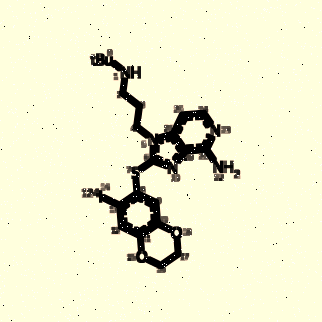 CC(C)(C)NCCCn1c(Sc2cc3c(cc2[124I])OCCO3)nc2c(N)nccc21